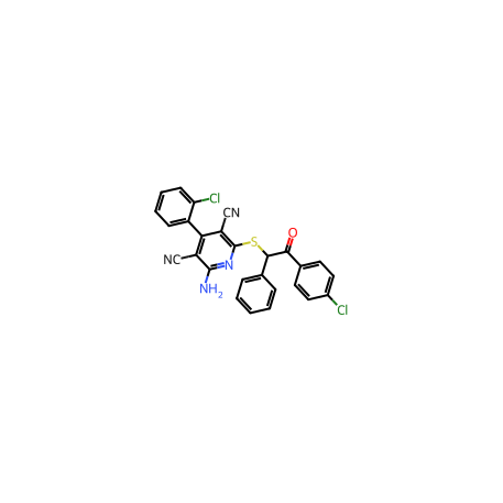 N#Cc1c(N)nc(SC(C(=O)c2ccc(Cl)cc2)c2ccccc2)c(C#N)c1-c1ccccc1Cl